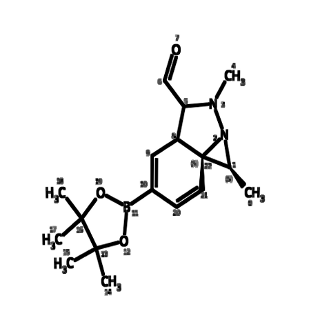 C[C@@H]1N2N(C)C(C=O)C3C=C(B4OC(C)(C)C(C)(C)O4)C=C[C@]312